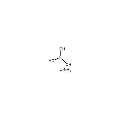 N.OP(O)O.[H+]